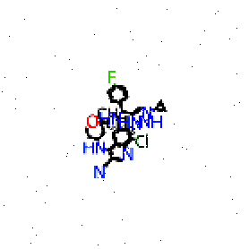 CC1(C)CC(Nc2c(C#N)cnc3c(Cl)cc(NC(C4=CN(C5CC5)NN4)c4ccc(F)cc4)cc23)CCO1